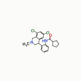 CN1Cc2c(Cl)cc(Cl)cc2C(c2ccccc2NC(=O)C2CCCC2)C1